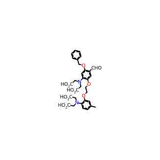 Cc1ccc(N(CC(=O)O)CC(=O)O)c(OCCOc2cc(C=O)c(OCc3ccccc3)cc2N(CC(=O)O)CC(=O)O)c1